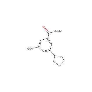 CNC(=O)c1cc(C2=CCCC2)cc([N+](=O)[O-])c1